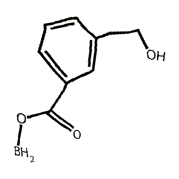 BOC(=O)c1cccc(CO)c1